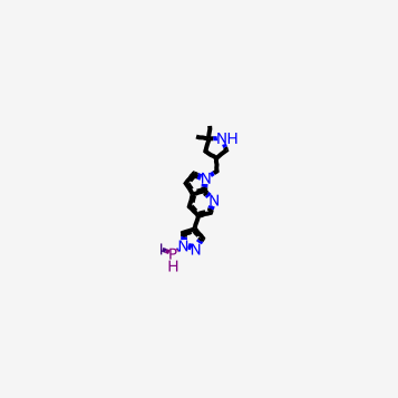 CC1(C)CC(Cn2ccc3cc(-c4cnn(PI)c4)cnc32)CN1